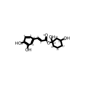 O=C(C=Cc1ccc(O)c(O)c1)OC1(O)CCCC(O)C1